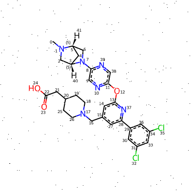 CN1C[C@@H]2C[C@H]1CN2c1cnc(Oc2cc(CN3CCC(CC(=O)O)CC3)cc(-c3cc(Cl)cc(Cl)c3)n2)cn1